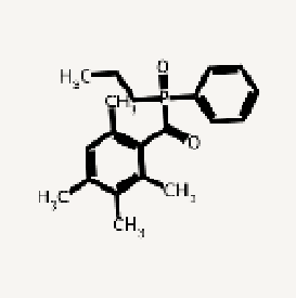 CCCP(=O)(C(=O)c1c(C)cc(C)c(C)c1C)c1ccccc1